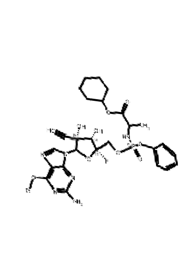 C#C[C@]1(O)C(n2cnc3c(OCC)nc(N)nc32)O[C@](F)(CO[P@@](=O)(NC(C)C(=O)OC2CCCCC2)Oc2ccccc2)[C@H]1O